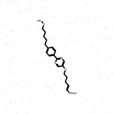 CCCCCC=CCCCOc1cnc(-c2ccc(CCCCCOCCC)cc2)nc1